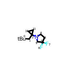 CC(C)(C)CC1(N2CCC(F)(F)C2)CC1